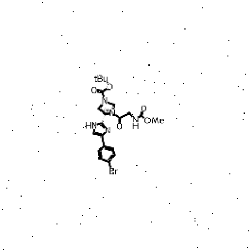 COC(=O)NCC(=O)N1CN(C(=O)OC(C)(C)C)C[C@H]1c1nc(-c2ccc(Br)cc2)c[nH]1